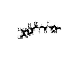 Cc1cc(NC(=O)CNC(=O)c2cc3sc(Cl)c(Cl)c3[nH]2)sn1